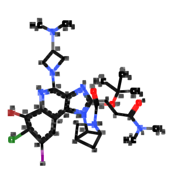 CN(C)C(=O)CCc1nc2c(N3CC(N(C)C)C3)nc3c(Br)c(Cl)c(I)cc3c2n1C1C2CC1N(C(=O)OC(C)(C)C)C2